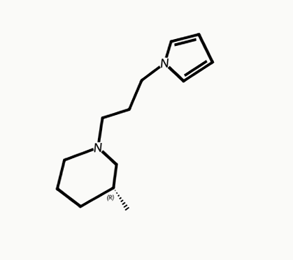 C[C@@H]1CCCN(CCCn2cccc2)C1